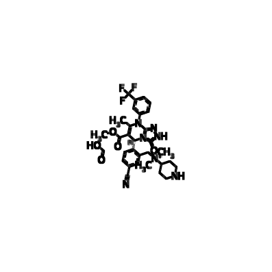 COC(=O)C1=C(C)N(c2cccc(C(F)(F)F)c2)c2n[nH]c(=O)n2[C@@H]1c1ccc(C#N)cc1C[N+](C)(C)C1CCNCC1.O=CO